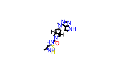 CC(=N)/C=C(\S)NC(=O)N1C[C@H]2C[C@H](N(C)c3ncnc4[nH]ccc34)C[C@H]2C1